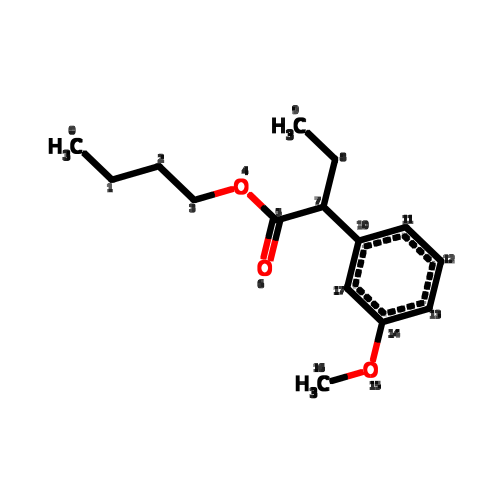 CCCCOC(=O)C(CC)c1cccc(OC)c1